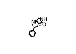 NC[C@H](C[C@H]1CCNC1=O)c1ccccc1